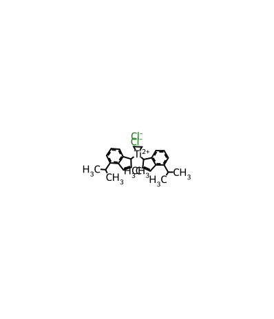 CC1=Cc2c(C(C)C)cccc2[CH]1[Ti+2]1([CH]2C(C)=Cc3c(C(C)C)cccc32)[CH2][CH2]1.[Cl-].[Cl-]